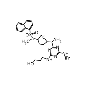 CC(C)Nc1nc(NCCCO)nc(C(N)C2CCC(N(C)S(=O)(=O)c3cccc4ccccc34)CC2)n1